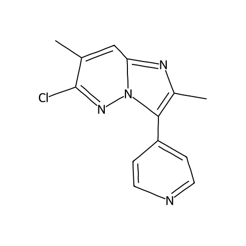 Cc1cc2nc(C)c(-c3ccncc3)n2nc1Cl